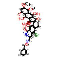 COC1=CC(=O)c2c(O)c3c(c(O)c2C1=O)C(=O)[C@]1(CCc2c1c(O)c1c(=O)[nH]c(/C=N/OCc4ccccc4)cc1c2Br)C3=O